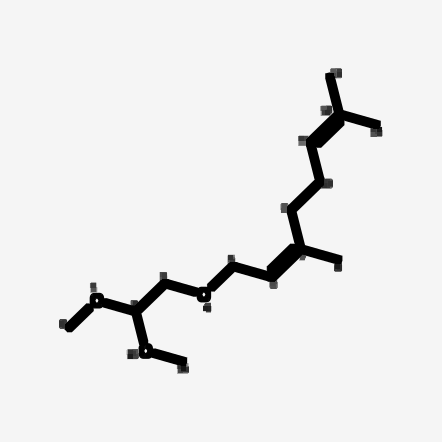 COC(COCC=C(C)CCC=C(C)C)OC